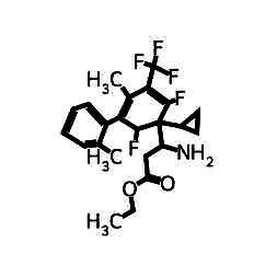 CCOC(=O)CC(N)C1(C2CC2)C(F)=C(C(F)(F)F)C(C)=C(c2ccccc2C)C1F